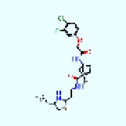 CCC1CSC(CCNC(=O)[C@@H]2CC3(NC(=O)COc4ccc(Cl)c(F)c4)CC2C3)N1